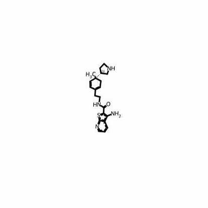 CC1([C@@H]2CCNC2)C=CC(CCNC(=O)c2sc3ncccc3c2N)=CC1